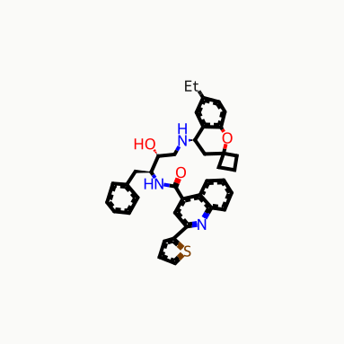 CCc1ccc2c(c1)[C@@H](NC[C@@H](O)[C@H](Cc1ccccc1)NC(=O)c1cc(-c3cccs3)nc3ccccc13)CC1(CCC1)O2